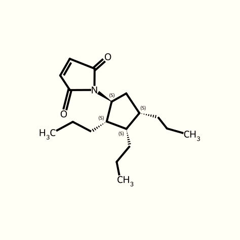 CCC[C@H]1C[C@H](N2C(=O)C=CC2=O)[C@@H](CCC)[C@H]1CCC